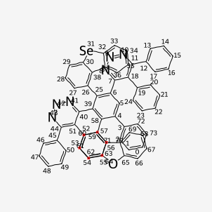 c1ccc(-c2cc(-c3nnnc(-c4ccccc4)c3-c3ccccc3)c(-c3cccc4[se]c5ccccc5c34)c(-c3nnnc(-c4ccccc4)c3-c3ccccc3)c2-c2cccc3oc4ccccc4c23)cc1